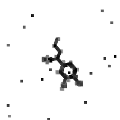 CCCC(N)c1ccc(Cl)c(Cl)c1